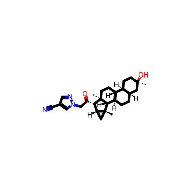 C[C@@]1(O)CC[C@H]2[C@H](CC[C@@H]3[C@@H]2CC[C@@]2(C)[C@H]3[C@]3(C)C[C@@H]3[C@@H]2C(=O)Cn2cc(C#N)cn2)C1